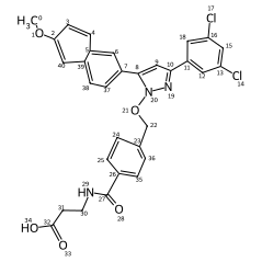 COc1ccc2cc(-c3cc(-c4cc(Cl)cc(Cl)c4)nn3OCc3ccc(C(=O)NCCC(=O)O)cc3)ccc2c1